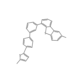 Cc1ccc2sc3c(-c4cccc(-c5ccc(-c6ccc(C)s6)cc5)c4)cccc3c2c1